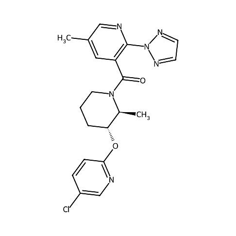 Cc1cnc(-n2nccn2)c(C(=O)N2CCC[C@@H](Oc3ccc(Cl)cn3)[C@@H]2C)c1